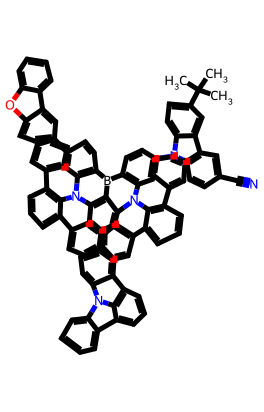 CC(C)(C)c1ccc2c(c1)c1cc(C#N)ccc1n2-c1ccc2c(c1)N(c1c(-c3ccccc3)cccc1-c1ccccc1)c1cc(-c3ccc4c(c3)c3cccc5c6ccccc6n4c53)cc3c1B2c1ccc(-c2ccc4oc5ccccc5c4c2)cc1N3c1c(-c2ccccc2)cccc1-c1ccccc1